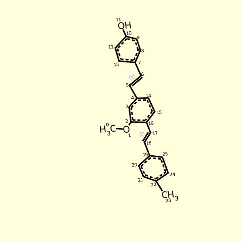 COc1cc(/C=C/c2ccc(O)cc2)ccc1/C=C/c1ccc(C)cc1